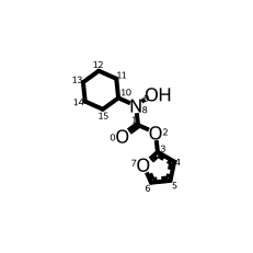 O=C(Oc1ccco1)N(O)C1CCCCC1